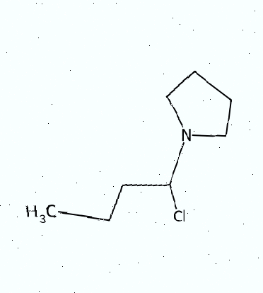 CCCC(Cl)N1CCCC1